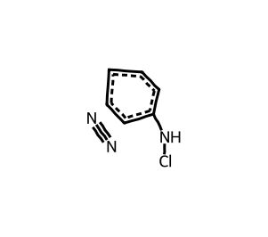 ClNc1ccccc1.N#N